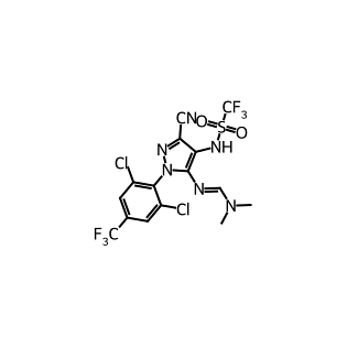 CN(C)/C=N/c1c(NS(=O)(=O)C(F)(F)F)c(C#N)nn1-c1c(Cl)cc(C(F)(F)F)cc1Cl